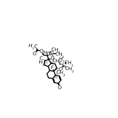 CC(=O)OCC(=O)[C@@]1(O[Si](C)(C)C)[C@@H](C)CC2C3CCC4=CC(=O)C=C[C@]4(C)C3(F)[C@@H](O[Si](C)(C)C)C[C@@]21C